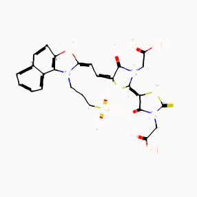 O=C(O)CN1C(=O)/C(=c2\sc(=CC=C3Oc4ccc5ccccc5c4N3CCCS(=O)(=O)O)c(=O)n2CC(=O)O)SC1=S